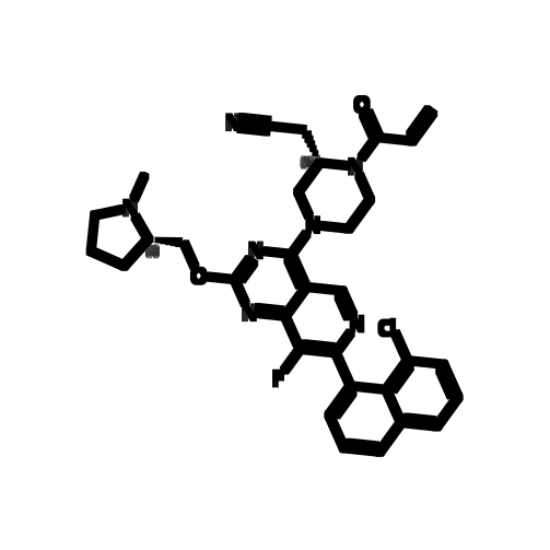 C=CC(=O)N1CCN(c2nc(OC[C@@H]3CCCN3C)nc3c(F)c(-c4cccc5cccc(Cl)c45)ncc23)C[C@@H]1CC#N